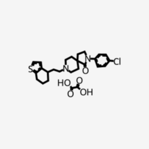 O=C(O)C(=O)O.O=C1N(c2ccc(Cl)cc2)CCC12CCN(CCC1CCCc3sccc31)CC2